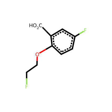 O=C(O)c1cc(F)ccc1OCCF